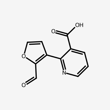 O=Cc1occc1-c1ncccc1C(=O)O